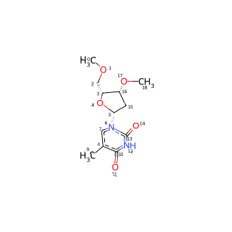 COC[C@H]1O[C@@H](n2cc(C)c(=O)[nH]c2=O)C[C@H]1OC